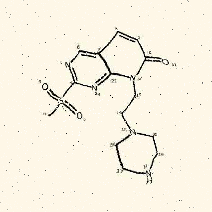 CS(=O)(=O)c1ncc2ccc(=O)n(CCN3CCNCC3)c2n1